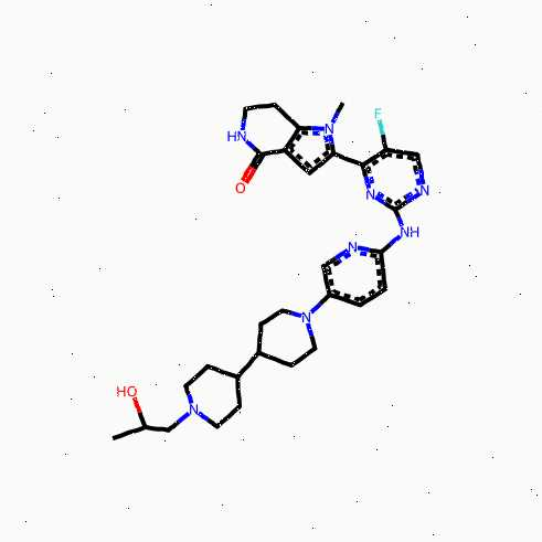 CC(O)CN1CCC(C2CCN(c3ccc(Nc4ncc(F)c(-c5cc6c(n5C)CCNC6=O)n4)nc3)CC2)CC1